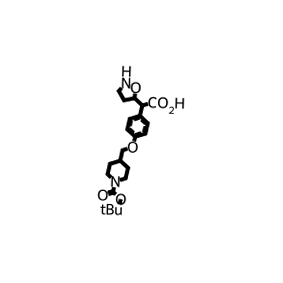 CC(C)(C)OC(=O)N1CCC(COc2ccc(C(C(=O)O)C3CCNO3)cc2)CC1